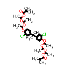 C=C(C)C(=O)OC(C)OC(C)OC(C)Oc1ccc(C(C)(C)c2ccc(OC(C)OC(C)OC(C)OC(=O)C(=C)C)c(Cl)c2)cc1Cl